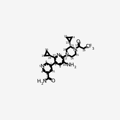 NC(=O)c1cncc(-c2cc(N)c(N3CCN(C(=O)CC(F)(F)F)[C@H](C4CC4)C3)nc2C2CC2)c1